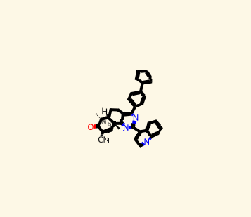 C[C@H]1C(=O)C(C#N)=C[C@@]2(C)c3nc(-c4ccnc5ccccc45)nc(-c4ccc(-c5ccccc5)cc4)c3CC[C@H]12